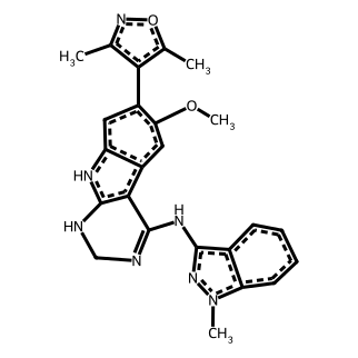 COc1cc2c3c([nH]c2cc1-c1c(C)noc1C)NCN=C3Nc1nn(C)c2ccccc12